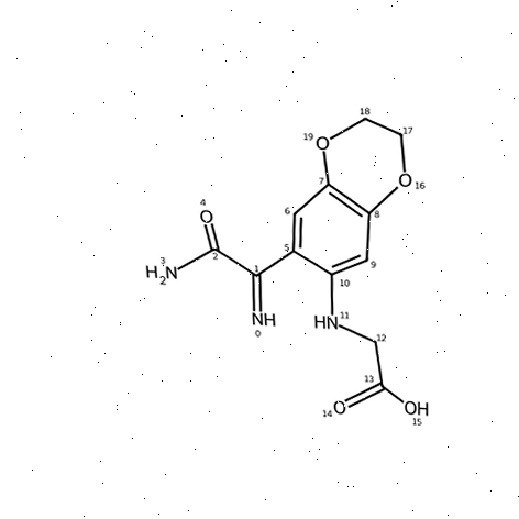 N=C(C(N)=O)c1cc2c(cc1NCC(=O)O)OCCO2